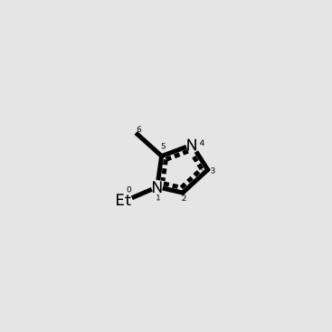 [CH2]Cn1ccnc1C